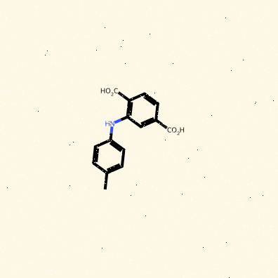 Cc1ccc(Nc2cc(C(=O)O)ccc2C(=O)O)cc1